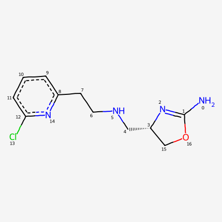 NC1=N[C@@H](CNCCc2cccc(Cl)n2)CO1